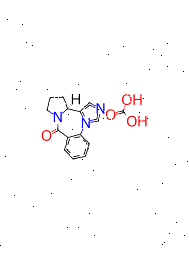 O=C(O)O.O=C1c2ccccc2-n2cncc2[C@@H]2CCCN12